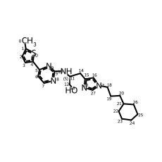 Cc1ccc(-c2ccnc(N[C@H](CO)Cc3cn(CCCC4CCCCC4)cn3)n2)s1